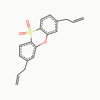 C=CCc1ccc2c(c1)Oc1cc(CC=C)ccc1S2(=O)=O